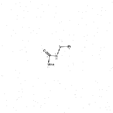 [CH2]NC(=O)NCC(C)C